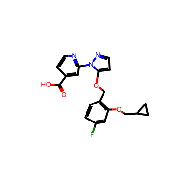 O=C(O)c1ccnc(-n2nccc2OCc2ccc(F)cc2OCC2CC2)c1